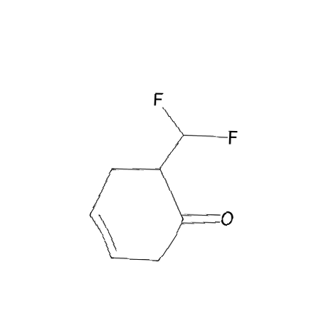 O=C1CC=CCC1C(F)F